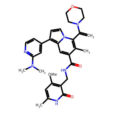 C=C(c1c(C)c(C(=O)NCc2c(OC)cc(C)[nH]c2=O)cc2c(-c3ccnc(N(C)C)c3)ccn12)N1CCOCC1